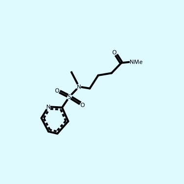 CNC(=O)CCCN(C)S(=O)(=O)c1ccccn1